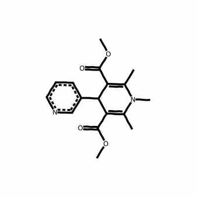 COC(=O)C1=C(C)N(C)C(C)=C(C(=O)OC)C1c1cccnc1